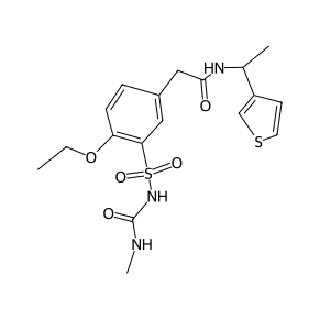 CCOc1ccc(CC(=O)NC(C)c2ccsc2)cc1S(=O)(=O)NC(=O)NC